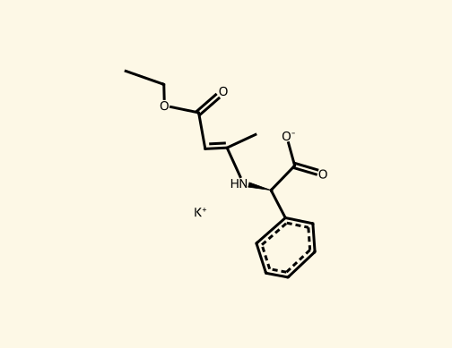 CCOC(=O)/C=C(\C)N[C@@H](C(=O)[O-])c1ccccc1.[K+]